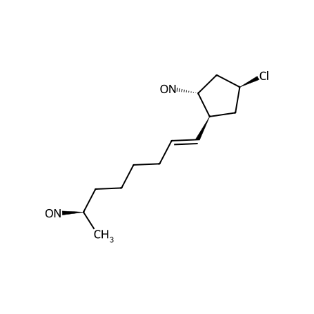 C[C@H](CCCC/C=C/[C@@H]1C[C@H](Cl)C[C@H]1N=O)N=O